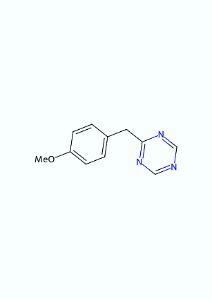 COc1ccc(Cc2ncncn2)cc1